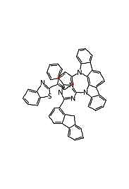 c1ccc(-c2nc(-c3cccc4c3Cc3ccccc3-4)nc(-n3c4ccccc4c4ccc5c6ccccc6n(-c6ccc(-c7nc8ccccc8s7)cc6)c5c43)n2)cc1